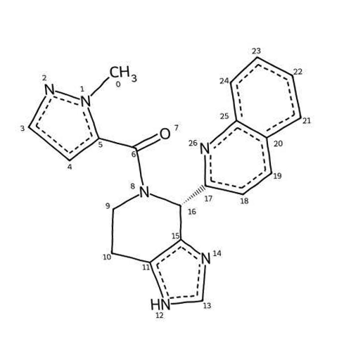 Cn1nccc1C(=O)N1CCc2[nH]cnc2[C@H]1c1ccc2ccccc2n1